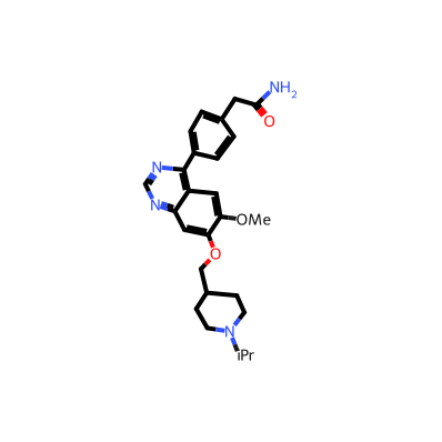 COc1cc2c(-c3ccc(CC(N)=O)cc3)ncnc2cc1OCC1CCN(C(C)C)CC1